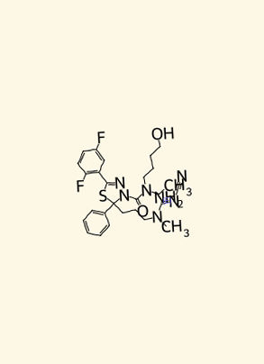 CCN(CCCCO)C(=O)N1N=C(c2cc(F)ccc2F)SC1(CCCN(C)/C(N)=N/C#N)c1ccccc1